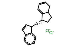 C1=CCC2CC[CH]([Zr+2][CH]3C=Cc4ccccc43)C2=C1.[Cl-].[Cl-]